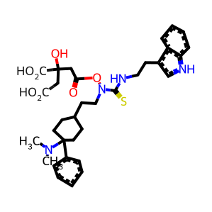 CN(C)C1(c2ccccc2)CCC(CCN(OC(=O)CC(O)(CC(=O)O)C(=O)O)C(=S)NCCc2c[nH]c3ccccc23)CC1